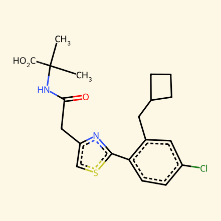 CC(C)(NC(=O)Cc1csc(-c2ccc(Cl)cc2CC2CCC2)n1)C(=O)O